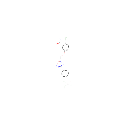 NC(=O)c1c(F)ccc(OCc2nc(-c3ccc(OC(F)(F)F)cc3)no2)c1F